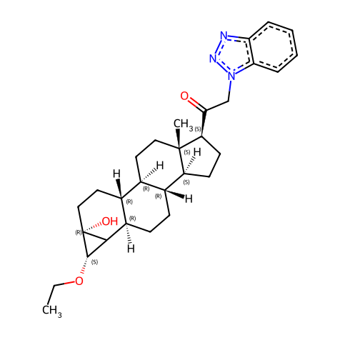 CCO[C@H]1C2[C@@H]3CC[C@@H]4[C@H](CC[C@]5(C)[C@@H](C(=O)Cn6nnc7ccccc76)CC[C@@H]45)[C@H]3CC[C@@]21O